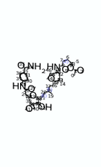 CC(=O)O[C@@H](C)/C=C\C(=O)N[C@@H]1C[C@H](C)[C@H](C/C=C(C)/C=C/[C@H]2O[C@H](CC(=O)Nc3ccc(C(N)=O)cc3)C[C@@]3(CO3)[C@@H]2O)O[C@@H]1C